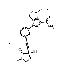 CC1CCc2c1c(C(N)=O)nn2-c1cccc(C#CC2(O)CCN(C)C2=O)c1